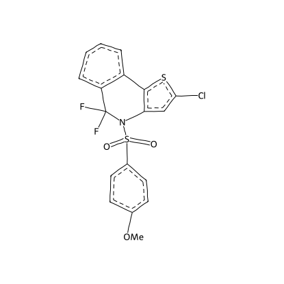 COc1ccc(S(=O)(=O)N2c3cc(Cl)sc3-c3ccccc3C2(F)F)cc1